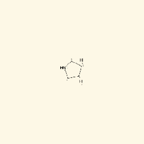 C1CCNC1.I.I